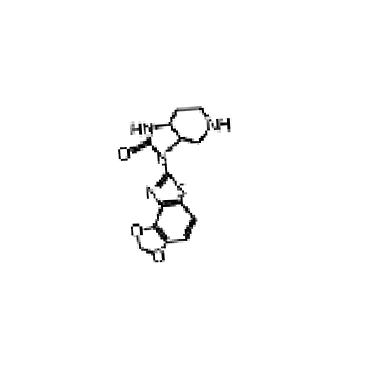 O=C1NC2CCNCC2N1c1nc2c3c(ccc2s1)OCO3